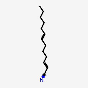 CCCCCC=CCCCC=CC#N